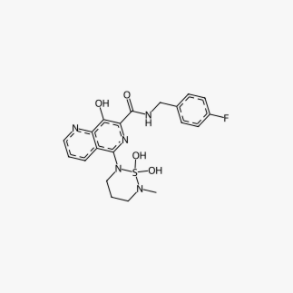 CN1CCCN(c2nc(C(=O)NCc3ccc(F)cc3)c(O)c3ncccc23)S1(O)O